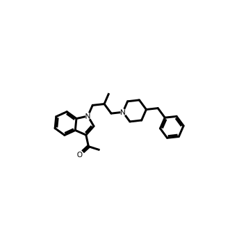 CC(=O)c1cn(CC(C)CN2CCC(Cc3ccccc3)CC2)c2ccccc12